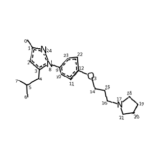 Cc1cc(CC(C)C)n(-c2ccc(OCCCN3CCCC3)cc2)n1